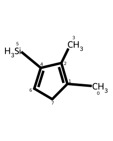 CC1=C(C)C([SiH3])=CC1